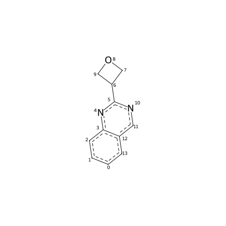 c1ccc2nc(C3COC3)ncc2c1